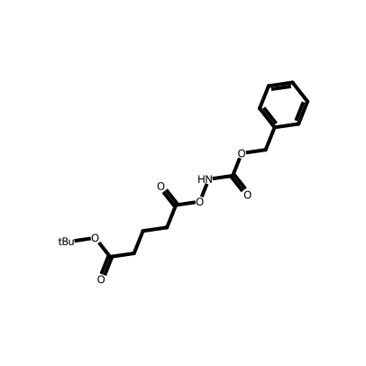 CC(C)(C)OC(=O)CCCC(=O)ONC(=O)OCc1ccccc1